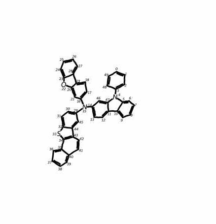 c1ccc(-n2c3ccccc3c3ccc(N(c4ccc5c(c4)oc4ccccc45)c4ccc5sc6c7ccccc7ccc6c5c4)cc32)cc1